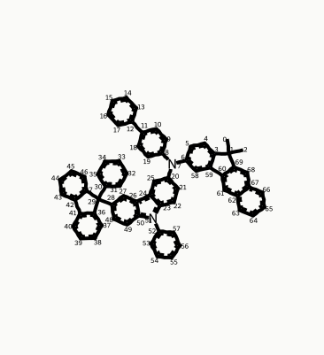 CC1(C)c2ccc(N(c3ccc(-c4ccccc4)cc3)c3ccc4c(c3)c3cc(C5(c6ccccc6)c6ccccc6-c6ccccc65)ccc3n4-c3ccccc3)cc2-c2cc3ccccc3cc21